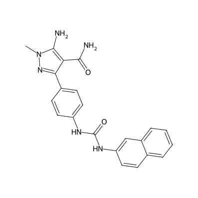 Cn1nc(-c2ccc(NC(=O)Nc3ccc4ccccc4c3)cc2)c(C(N)=O)c1N